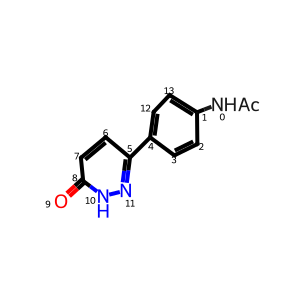 CC(=O)Nc1ccc(-c2ccc(=O)[nH]n2)cc1